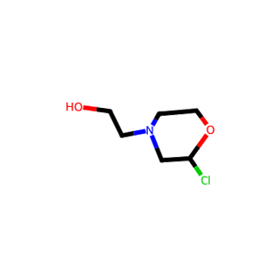 OCCN1CCOC(Cl)C1